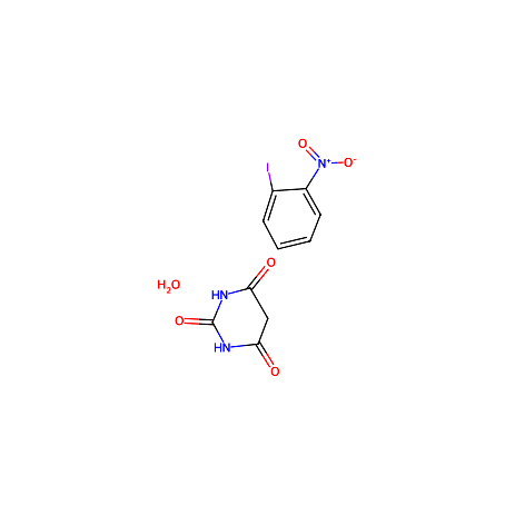 O.O=C1CC(=O)NC(=O)N1.O=[N+]([O-])c1ccccc1I